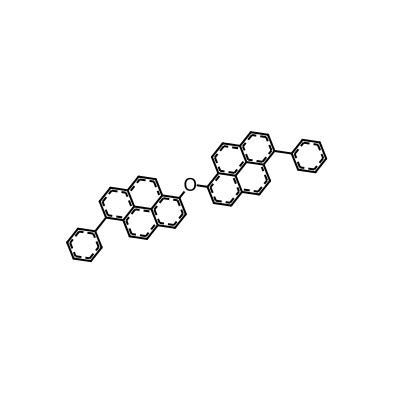 c1ccc(-c2ccc3ccc4c(Oc5ccc6ccc7c(-c8ccccc8)ccc8ccc5c6c87)ccc5ccc2c3c54)cc1